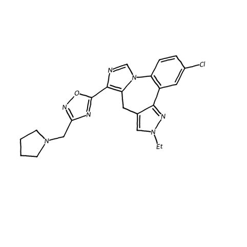 CCn1cc2c(n1)-c1cc(Cl)ccc1-n1cnc(-c3nc(CN4CCCC4)no3)c1C2